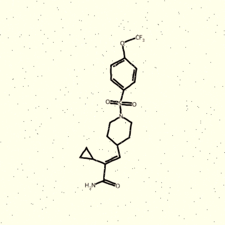 NC(=O)C(=CC1CCN(S(=O)(=O)c2ccc(OC(F)(F)F)cc2)CC1)C1CC1